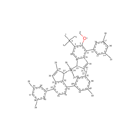 COc1c(C(C)(C)C)cc2c(c1-c1cc(C)cc(C)c1)C=C(C)C2[Si](C)(C)C1C(C)=Cc2c(-c3cc(C)cc(C)c3)ccc(-c3cc(C)cc(C)c3)c21